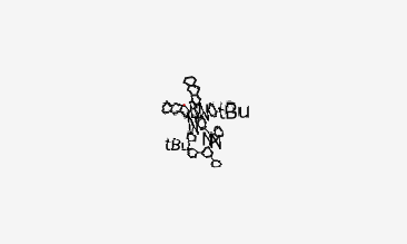 CC(C)(C)c1ccc(N2c3cc4cc5ccccc5cc4cc3B3c4cc5cc6ccccc6cc5cc4N(c4ccc(C(C)(C)C)cc4)c4cc(-c5nc(-c6cc(-c7ccccc7)cc(-c7ccccc7)c6)nc6ccccc56)cc2c43)cc1